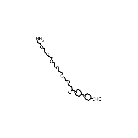 NCCOCCOCCOCCOCCOCCOCCC(=O)N1CCC(N2CCC(C=O)CC2)CC1